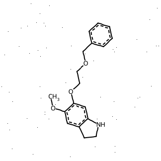 COc1cc2c(cc1OCCOCc1ccccc1)NCC2